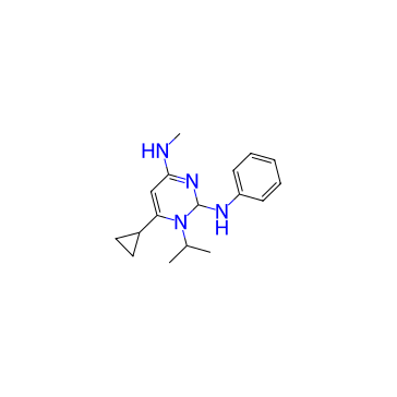 CNC1=NC(Nc2ccccc2)N(C(C)C)C(C2CC2)=C1